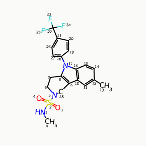 CNS(=O)(=O)N1CCc2c(c3cc(C)ccc3n2-c2ccc(C(F)(F)F)cc2)C1